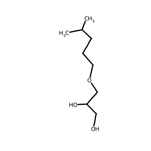 CC(C)CCCOCC(O)CO